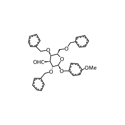 COc1ccc(O[C@@H]2O[C@H](COCc3ccccc3)[C@H](OCc3ccccc3)[C@H](C=O)[C@H]2OCc2ccccc2)cc1